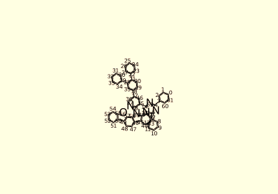 c1ccc(-c2nc(-c3ccccc3)nc(-c3cc(-c4ccc(-c5ccccc5)c(-c5ccccc5)c4)cnc3-n3c4ccccc4c4ccc5c6ccccc6oc5c43)n2)cc1